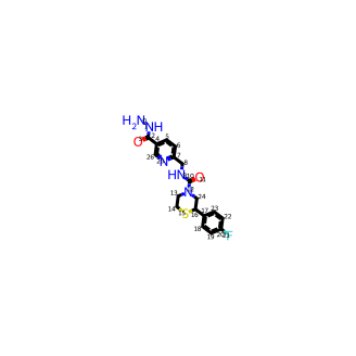 NNC(=O)c1ccc(CNC(=O)N2CCSC(c3ccc(F)cc3)C2)nc1